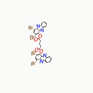 O=C(CCCC(=O)Oc1c(Br)cc(Br)c2nc3ccccc3nc12)Oc1c(Br)cc(Br)c2nc3ccccc3nc12